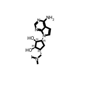 CN(I)C[C@H]1C[C@@H](n2ccc3c(N)ncnc32)[C@H](O)[C@@H]1O